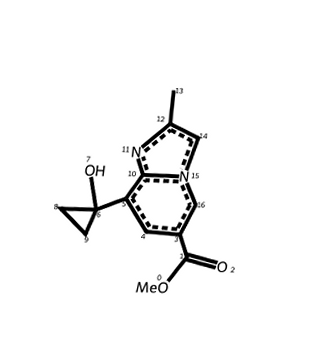 COC(=O)c1cc(C2(O)CC2)c2nc(C)cn2c1